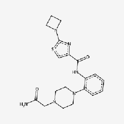 NC(=O)CN1CCN(c2ccccc2NC(=O)c2csc(N3CCC3)n2)CC1